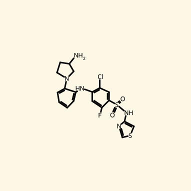 NC1CCN(c2ccccc2Nc2cc(F)c(S(=O)(=O)Nc3cscn3)cc2Cl)C1